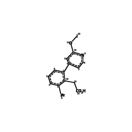 CC(C)c1cccc(-c2ccnc(OI)c2)c1CC(=O)O